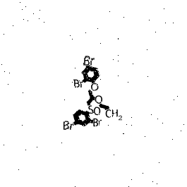 C=CC(=O)OC(COc1ccc(Br)cc1Br)CSc1ccc(Br)cc1Br